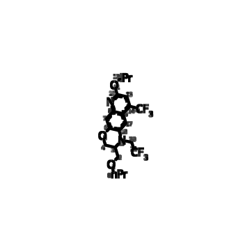 CCCOCC1COc2cc3nc(OC(C)C)cc(C(F)(F)F)c3cc2N1CC(F)(F)F